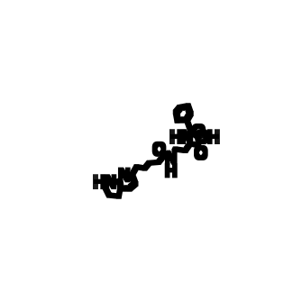 O=C(CCCCc1ccc2c(n1)NCCC2)NCCC(NC(=O)c1ccccc1)C(=O)O